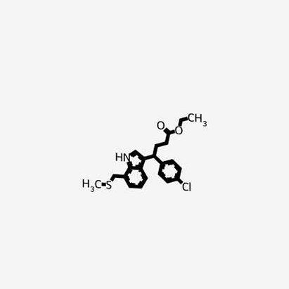 CCOC(=O)CCC(c1ccc(Cl)cc1)c1c[nH]c2c(CSC)cccc12